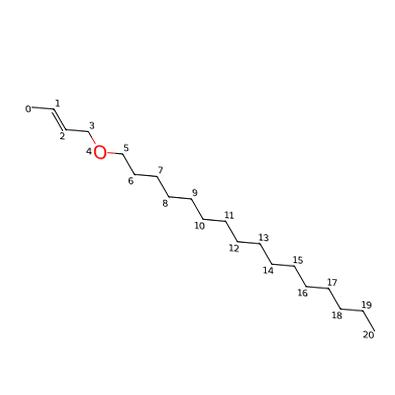 CC=CCOCCCCCCCCCCCCCCCC